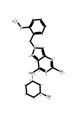 COc1ccccc1Cn1cc2nc(N)nc(N[C@H]3CCC[C@H](O)C3)c2n1